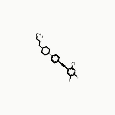 CCCC[C@H]1CC[C@H](c2ccc(C#Cc3cc(F)c(F)nc3Cl)cc2)CC1